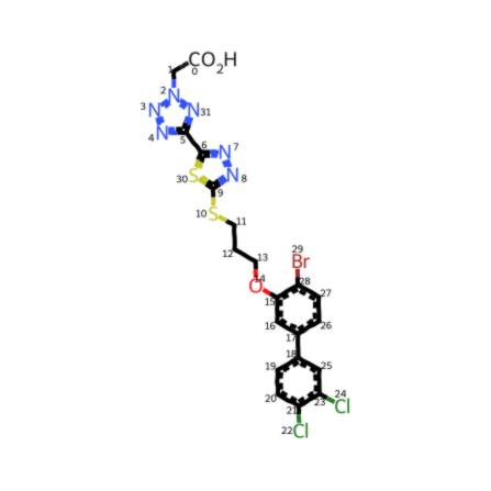 O=C(O)Cn1nnc(-c2nnc(SCCCOc3cc(-c4ccc(Cl)c(Cl)c4)ccc3Br)s2)n1